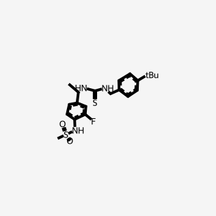 CC(NC(=S)NCc1ccc(C(C)(C)C)cc1)c1ccc(NS(C)(=O)=O)c(F)c1